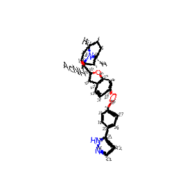 CC(=O)N[C@H]1C[C@H]2CC[C@@H](C1)N2CC1Cc2ccc(Oc3ccc(-c4ccn[nH]4)cc3)cc2O1